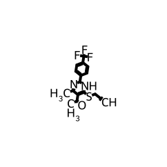 C#CCSC1=C(C(C)=O)C(C)=NC(c2ccc(C(F)(F)F)cc2)N1